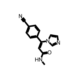 CNC(=O)C=C(c1ccc(C#N)cc1)n1ccnc1